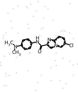 CN(C)c1ccc(NC(=O)c2cn3cc(Cl)ccc3n2)cc1